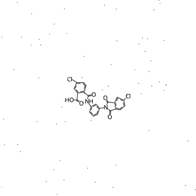 O=C(O)c1cc(Cl)ccc1C(=O)Nc1cccc(N2C(=O)c3ccc(Cl)cc3C2=O)c1